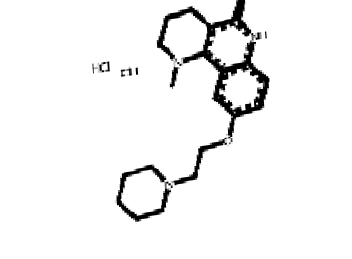 CN1CCCc2c1c1cc(OCCN3CCCCC3)ccc1[nH]c2=O.Cl.Cl